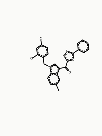 Cc1ccc2c(c1)c(C(=O)c1nnc(-c3ccncc3)o1)cn2Cc1ccc(Cl)cc1Cl